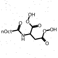 CCCCCCCCC(=O)NC(CC(=O)OO)C(=O)OO